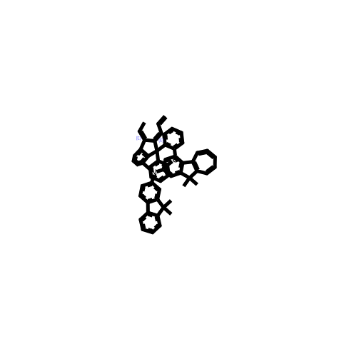 C=C/C=C1\C(=C/C)c2cccc(N(c3ccc4c(c3)C(C)(C)C3=C4C=C=CC=C3)c3ccc4c(c3)C(C)(C)c3ccccc3-4)c2C12c1ccccc1Oc1ccccc12